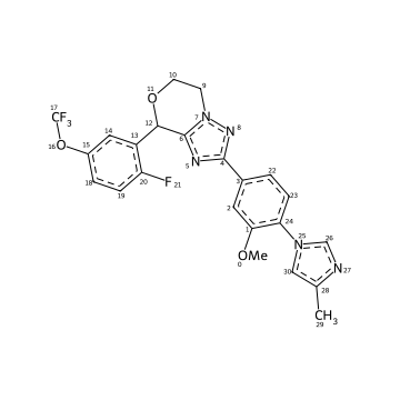 COc1cc(-c2nc3n(n2)CCOC3c2cc(OC(F)(F)F)ccc2F)ccc1-n1cnc(C)c1